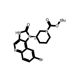 CC(C)(C)OC(=O)N1CCC[C@@H](n2c(=O)[nH]c3cnc4ccc(Br)cc4c32)C1